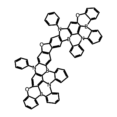 c1ccc(N2c3cc4oc5cc6c(cc5c4cc3B3c4ccccc4N4c5ccccc5B5c7ccccc7Oc7cc2c3c4c75)B2c3ccccc3N3c4ccccc4B4c5ccccc5Oc5cc(c2c3c54)N6c2ccccc2)cc1